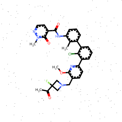 COc1nc(-c2cccc(-c3cccc(NC(=O)c4ccnn(C)c4=O)c3C)c2Cl)ccc1CN1CC(F)(C(C)=O)C1